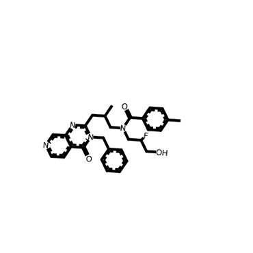 Cc1ccc(C(=O)N(CC(C)Cc2nc3cnccc3c(=O)n2Cc2ccccc2)CC(F)CO)cc1